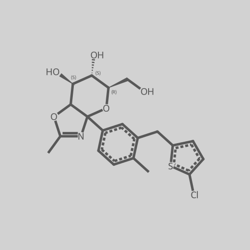 CC1=NC2(c3ccc(C)c(Cc4ccc(Cl)s4)c3)O[C@H](CO)[C@@H](O)[C@H](O)C2O1